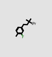 Cc1ccc(CCC(C)(C)C(C)C)cc1F